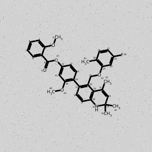 COc1ccccc1C(=O)Oc1ccc(-c2ccc3c(c2COc2cc(F)ccc2C)C(C)=CC(C)(C)N3)c(OC)c1